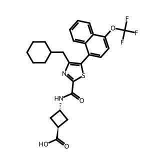 O=C(N[C@H]1C[C@H](C(=O)O)C1)c1nc(CC2CCCCC2)c(-c2ccc(OC(F)(F)F)c3ccccc23)s1